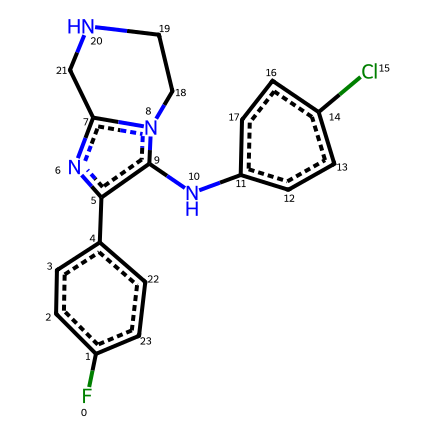 Fc1ccc(-c2nc3n(c2Nc2ccc(Cl)cc2)CCNC3)cc1